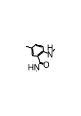 CNC(=O)c1cc(C)ccc1NC